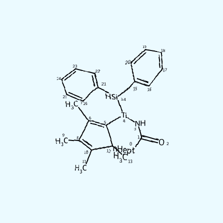 CCCCCCCC(=O)[NH][Ti]([C]1=C(C)C(C)=C(C)C1C)[SiH](c1ccccc1)c1ccccc1